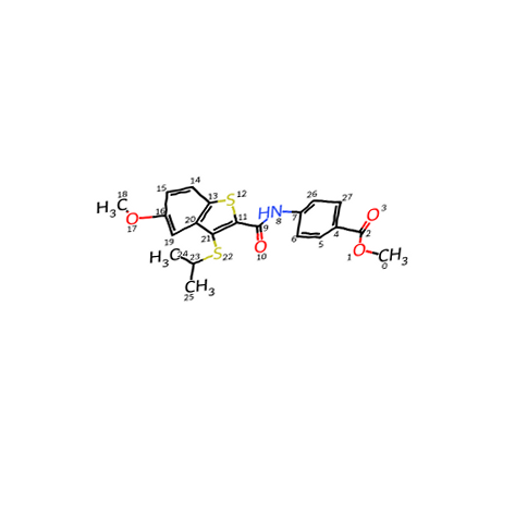 COC(=O)c1ccc(NC(=O)c2sc3ccc(OC)cc3c2SC(C)C)cc1